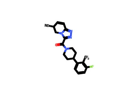 N#CC1C=Cc2nnc(C(=O)N3CCC(c4cccc(F)c4C(F)(F)F)CC3)n2C1